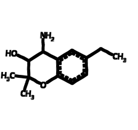 CCc1ccc2c(c1)C(N)C(O)C(C)(C)O2